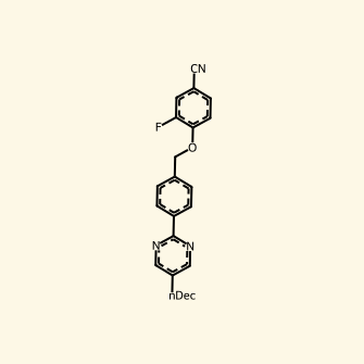 CCCCCCCCCCc1cnc(-c2ccc(COc3ccc(C#N)cc3F)cc2)nc1